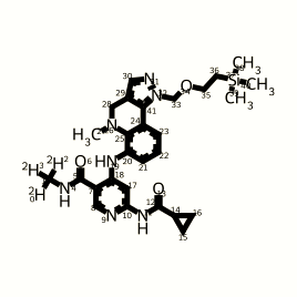 [2H]C([2H])([2H])NC(=O)c1cnc(NC(=O)C2CC2)cc1Nc1cccc2c1N(C)Cc1cnn(COCC[Si](C)(C)C)c1-2